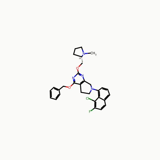 CN1CCC[C@H]1COc1nc2c(c(OCc3ccccc3)n1)CCN(c1cccc3ccc(F)c(Cl)c13)C2